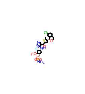 Cc1sc(C(=O)c2cncnc2N[C@@H]2C[C@H](COS(N)(=O)=O)[C@@H](O)[C@@H]2F)cc1[C@@H]1OCCc2ccc(Cl)cc21